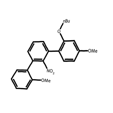 CCCCOc1cc(OC)ccc1-c1cccc(-c2ccccc2OC)c1[N+](=O)[O-]